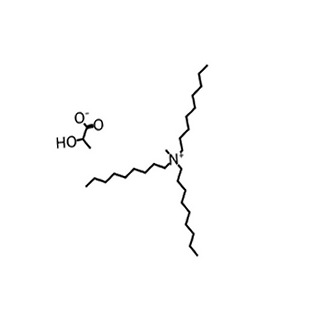 CC(O)C(=O)[O-].CCCCCCCCC[N+](C)(CCCCCCCCC)CCCCCCCCC